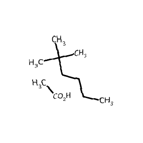 CC(=O)O.CCCCC(C)(C)C